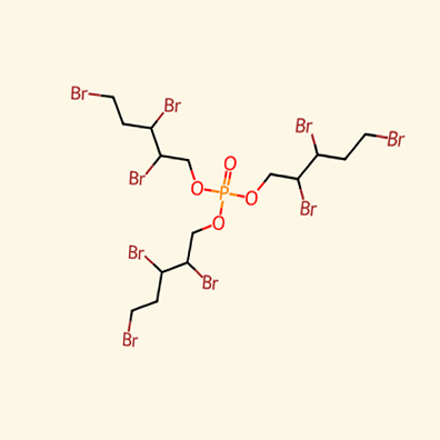 O=P(OCC(Br)C(Br)CCBr)(OCC(Br)C(Br)CCBr)OCC(Br)C(Br)CCBr